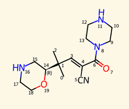 CC(C)(C=C(C#N)C(=O)N1CCNCC1)[C@@H]1CNCCO1